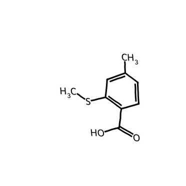 CSc1cc(C)ccc1C(=O)O